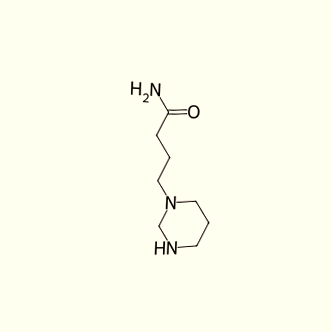 NC(=O)CCCN1CCCNC1